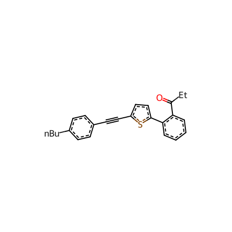 CCCCc1ccc(C#Cc2ccc(-c3ccccc3C(=O)CC)s2)cc1